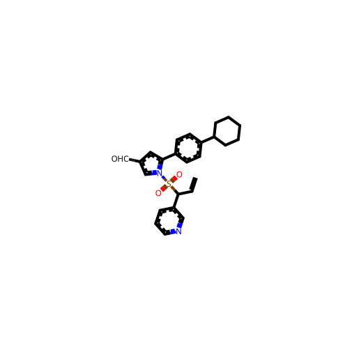 C=CC(c1cccnc1)S(=O)(=O)n1cc(C=O)cc1-c1ccc(C2CCCCC2)cc1